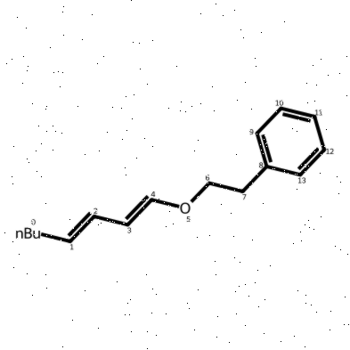 CCCC/C=C/C=C/OCCc1ccccc1